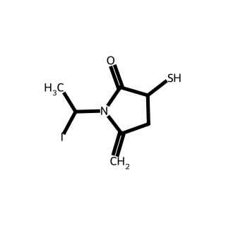 C=C1CC(S)C(=O)N1C(C)I